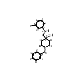 Cc1cccc(NCC2(O)CCN(Cc3ccccc3)CC2)c1